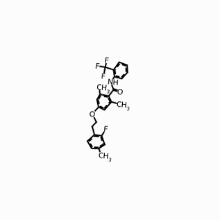 Cc1ccc(CCOc2cc(C)c(C(=O)Nc3ccccc3C(F)(F)F)c(C)c2)c(F)c1